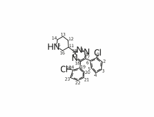 Clc1ccccc1-c1nnc(C2CCCNC2)nc1-c1ccccc1Cl